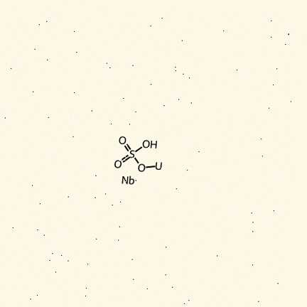 O=S(=O)(O)[O][U].[Nb]